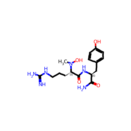 CN(O)[C@@H](CCCNC(=N)N)C(=O)N[C@@H](Cc1ccc(O)cc1)C(N)=O